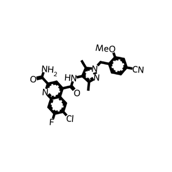 COc1cc(C#N)ccc1Cn1nc(C)c(NC(=O)c2cc(C(N)=O)nc3cc(F)c(Cl)cc23)c1C